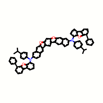 CC(C)c1ccc(N(c2ccc3cc4c(cc3c2)oc2cc3oc5cc6cc(N(c7ccc(C(C)C)cc7)c7cccc8c7oc7c(-c9ccccc9)cccc78)ccc6cc5c3cc24)c2cccc3c2oc2c(-c4ccccc4)cccc23)cc1